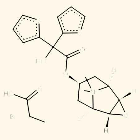 CCC(=O)O.C[N+]1(C)[C@@H]2C[C@@H](OC(=O)C(O)(c3cccs3)c3cccs3)C[C@H]1[C@@H]1O[C@@H]12.[Br-]